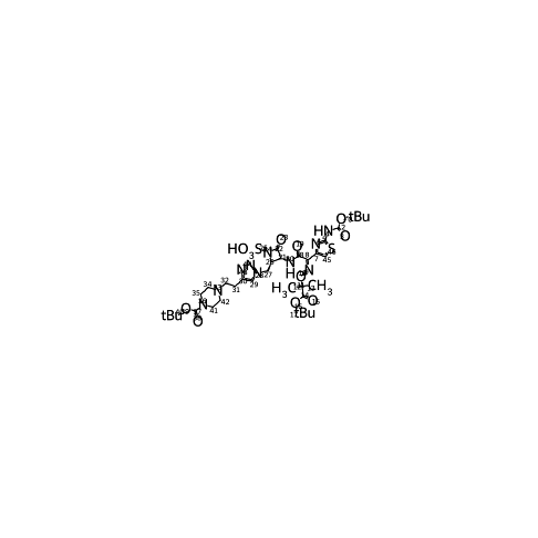 CC(C)(C)OC(=O)Nc1nc(C(=NOC(C)(C)C(=O)OC(C)(C)C)C(=O)N[C@@H]2C(=O)N(S(=O)(=O)O)[C@@H]2Cn2cc(CCN3CCN(C(=O)OC(C)(C)C)CC3)nn2)cs1